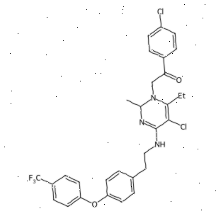 CCC1=C(Cl)C(NCCc2ccc(Oc3ccc(C(F)(F)F)cc3)cc2)=NC(C)N1CC(=O)c1ccc(Cl)cc1